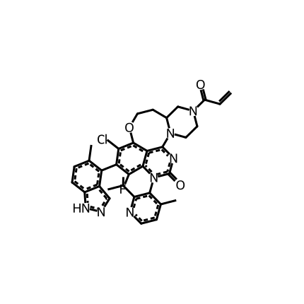 C=CC(=O)N1CCN2c3nc(=O)n(-c4c(C)ccnc4C(C)C)c4c(F)c(-c5c(C)ccc6[nH]ncc56)c(Cl)c(c34)OCCC2C1